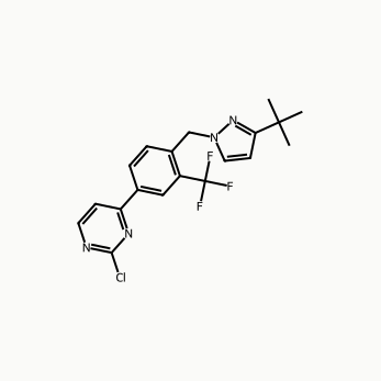 CC(C)(C)c1ccn(Cc2ccc(-c3ccnc(Cl)n3)cc2C(F)(F)F)n1